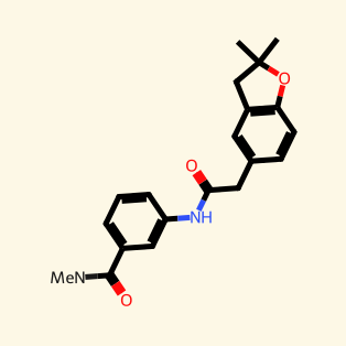 CNC(=O)c1cccc(NC(=O)Cc2ccc3c(c2)CC(C)(C)O3)c1